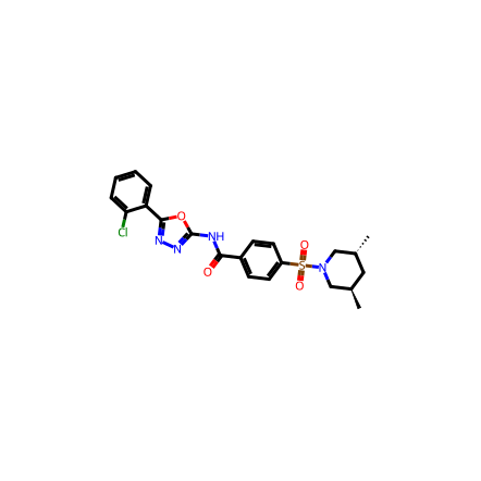 C[C@@H]1C[C@@H](C)CN(S(=O)(=O)c2ccc(C(=O)Nc3nnc(-c4ccccc4Cl)o3)cc2)C1